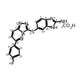 O=C(O)Nc1nc2ccc(Sc3nnc4ccc(-c5ccc(F)cc5)nn34)cc2[nH]1